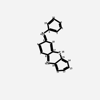 c1ccc(N=c2ccc3nc4ccccc4sc-3c2)cc1